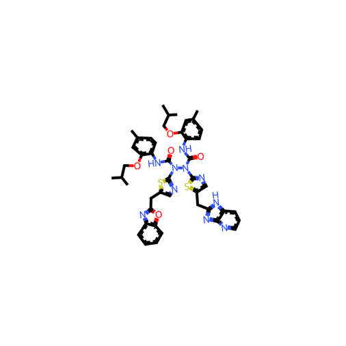 Cc1ccc(NC(=O)N(c2ncc(Cc3nc4ncccc4[nH]3)s2)N(C(=O)Nc2ccc(C)cc2OCC(C)C)c2ncc(Cc3nc4ccccc4o3)s2)c(OCC(C)C)c1